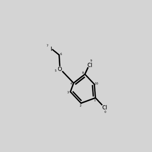 Clc1ccc(OCI)c(Cl)c1